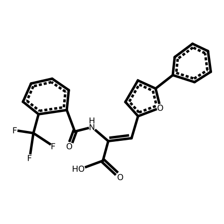 O=C(O)C(=Cc1ccc(-c2ccccc2)o1)NC(=O)c1ccccc1C(F)(F)F